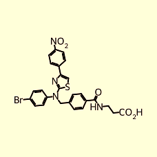 O=C(O)CCNC(=O)c1ccc(CN(c2ccc(Br)cc2)c2nc(-c3ccc([N+](=O)[O-])cc3)cs2)cc1